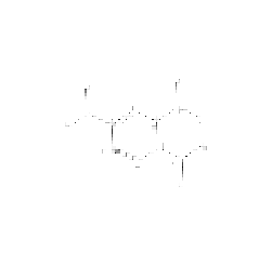 CC(C)c1cc(C(C)C)c(C(C)C)cn1